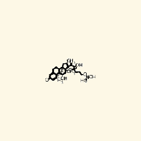 C[C@H]1CC2C3CCC4=CC(=O)C=C[C@]4(C)[C@@]3(F)[C@@H](O)C[C@]2(C)[C@@]1(OC(=O)CCCON(O)O)C(=O)CO